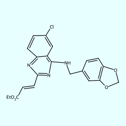 CCOC(=O)C=Cc1nc(NCc2ccc3c(c2)OCO3)c2cc(Cl)ccc2n1